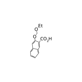 CCOCOc1cc2ccccc2cc1C(=O)O